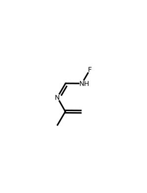 C=C(C)/N=C\NF